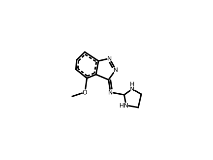 COc1cccc2c1C(=NC1NCCN1)N=N2